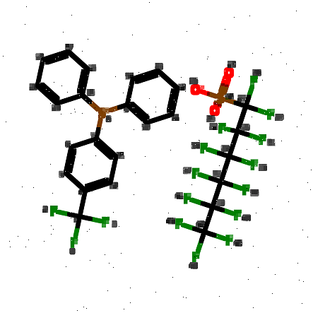 FC(F)(F)c1ccc([S+](c2ccccc2)c2ccccc2)cc1.O=S(=O)([O-])C(F)(F)C(F)(F)C(F)(F)C(F)(F)C(F)(F)C(F)(F)F